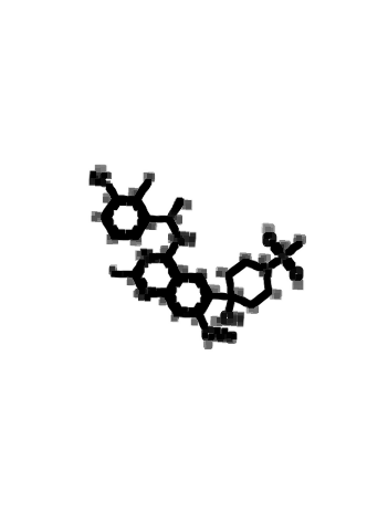 COc1cc2nc(C)nc(N[C@H](C)c3cccc(C#N)c3C)c2cc1C1(O)CCN(S(C)(=O)=O)CC1